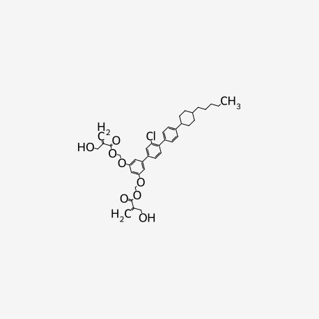 C=C(CO)C(=O)OCOc1cc(OCOC(=O)C(=C)CO)cc(-c2ccc(-c3ccc(C4CCC(CCCCC)CC4)cc3)c(Cl)c2)c1